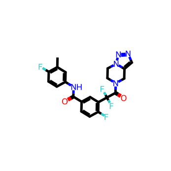 Cc1cc(NC(=O)c2ccc(F)c(C(F)(F)C(=O)N3CCn4nncc4C3)c2)ccc1F